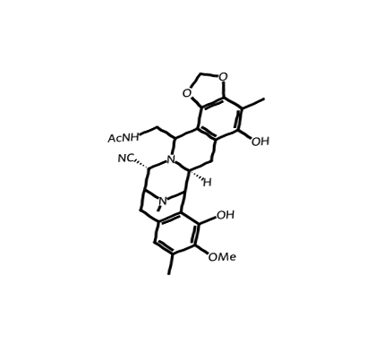 COc1c(C)cc2c(c1O)C1[C@@H]3Cc4c(O)c(C)c5c(c4C(CNC(C)=O)N3[C@@H](C#N)C(C2)N1C)OCO5